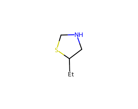 CCC1CNCS1